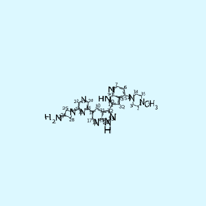 CN1CCN(c2ccnc3[nH]c(-c4n[nH]c5ncc(-c6cncc(N7CC(N)C7)n6)cc45)cc23)CC1